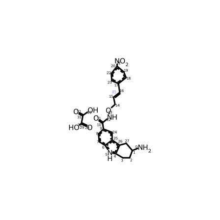 NC1CCc2[nH]c3ccc(C(=O)NOC/C=C/c4ccc([N+](=O)[O-])cc4)cc3c2C1.O=C(O)C(=O)O